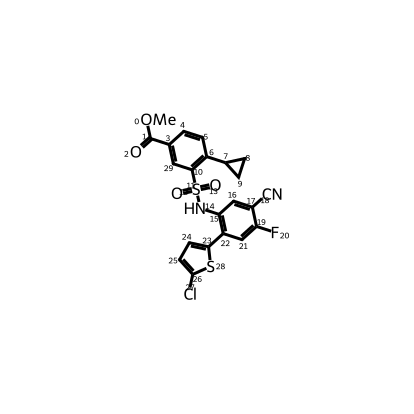 COC(=O)c1ccc(C2CC2)c(S(=O)(=O)Nc2cc(C#N)c(F)cc2-c2ccc(Cl)s2)c1